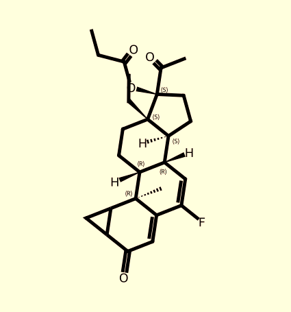 CCC(=O)O[C@@]1(C(C)=O)CC[C@H]2[C@@H]3C=C(F)C4=CC(=O)C5CC5[C@@]4(C)[C@@H]3CC[C@@]21CC